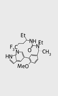 CCC(CCC(F)(F)F)NC(=O)N(CC)[C@H](C)c1ccc(OC)c(-c2cnc3[nH]ccc3c2)c1